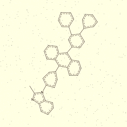 Cc1nc2ccccc2n1-c1ccc(-c2c3ccccc3c(-c3ccc(-c4ccccc4)c(-c4ccccc4)c3)c3ccccc23)cc1